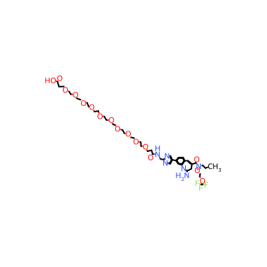 CCCN(OCCOC(F)(F)F)C(=O)C1=Cc2ccc(-c3cnc(CNC(=O)CCOCCOCCOCCOCCOCCOCCOCCOCCOCCOCCC(=O)O)nc3)cc2N=C(N)C1